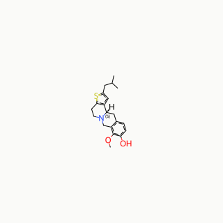 COc1c(O)ccc2c1CN1CCc3sc(CC(C)C)cc3[C@@H]1C2